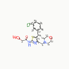 O=C(CO)Nc1nc(CN2CCOCC2)c(Cc2cccc(Cl)c2)s1